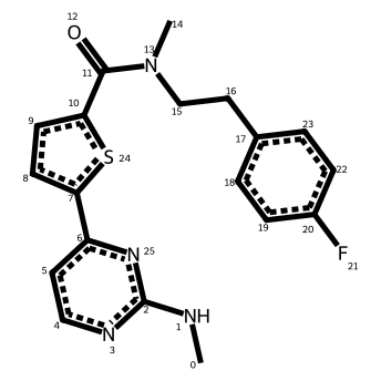 CNc1nccc(-c2ccc(C(=O)N(C)CCc3ccc(F)cc3)s2)n1